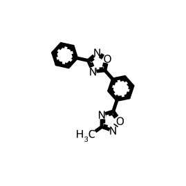 Cc1noc(-c2cccc(-c3nc(-c4ccccc4)no3)c2)n1